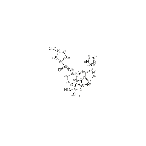 CC(C)(C)Cc1nc2cnc(-n3nccn3)cc2n1[C@H]1CCCC(NC(=O)c2ccc(Cl)s2)[C@@H]1O